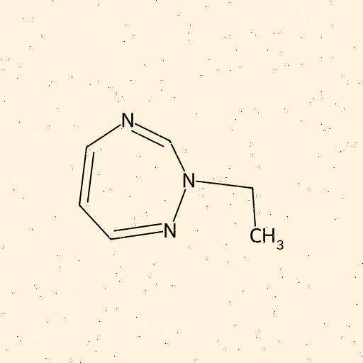 CCN1C=NC=CC=N1